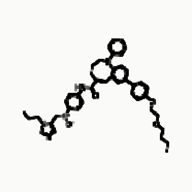 CCCCOCCOc1ccc(-c2ccc3c(c2)C=C(C(=O)Nc2ccc([S+]([O-])Cc4cncn4CCC)cc2)CCCN3c2ccccc2)cc1